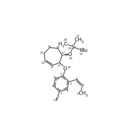 C/C=C\c1cc(F)ccc1OC1C=CCCC[C@H]1O[Si](C)(C)C(C)(C)C